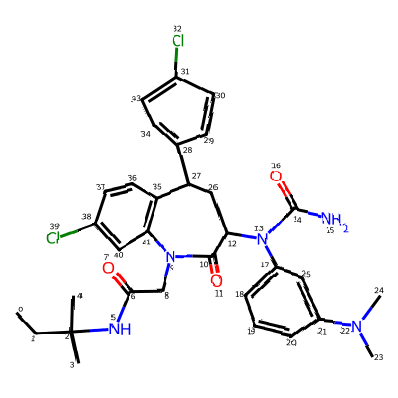 CCC(C)(C)NC(=O)CN1C(=O)C(N(C(N)=O)c2cccc(N(C)C)c2)CC(c2ccc(Cl)cc2)c2ccc(Cl)cc21